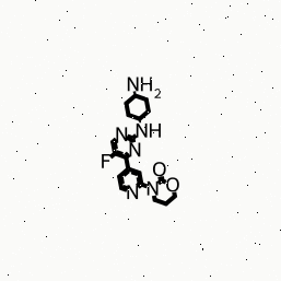 N[C@H]1CC[C@H](Nc2ncc(F)c(-c3ccnc(N4CCCOC4=O)c3)n2)CC1